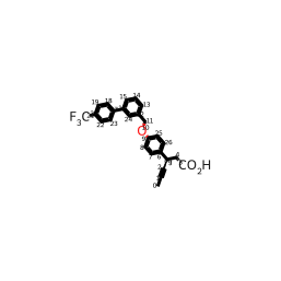 CC#C[C@H](CC(=O)O)c1ccc(OCc2cccc(-c3ccc(C(F)(F)F)cc3)c2)cc1